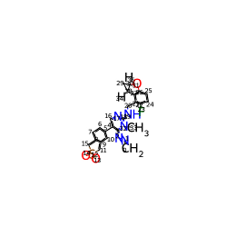 C=N/N=c1/c(-c2ccc3c(c2)=CS(=O)(=O)C=3)cnc(NCc2c(F)ccc3c2[C@H]2C[C@H]2O3)n1C